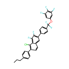 CCCc1ccc(-c2ccc3cc(-c4ccc(C(F)(F)Oc5cc(F)c(F)c(F)c5)cc4)c(F)c(F)c3c2Cl)cc1